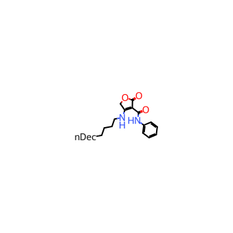 CCCCCCCCCCCCCCNC1=C(C(=O)Nc2ccccc2)C(=O)OC1